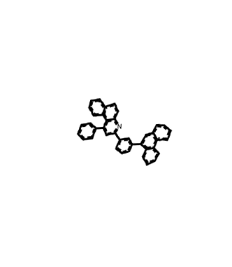 c1ccc(-c2cc(-c3cccc(-c4cc5ccccc5c5ccccc45)c3)nc3ccc4ccccc4c23)cc1